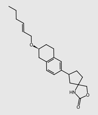 CCCC=CCO[C@H]1CCc2cc(C3CCC4(COC(=O)N4)C3)ccc2C1